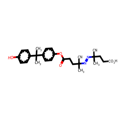 CC(C#N)(CCC(=O)O)N=NC(C)(C#N)CCC(=O)Oc1ccc(C(C)(C)c2ccc(O)cc2)cc1